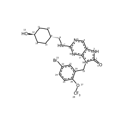 O=c1[nH]c2cnc(NC[C@H]3CC[C@H](O)CC3)nc2n1Cc1cc(Br)ccc1OC(F)(F)F